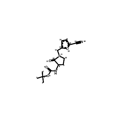 CC(C)(C)OC(=O)NC1CCN(Cc2ccc(C#N)o2)C1=O